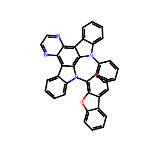 c1ccc(-n2c3ccccc3c3c4nccnc4c4c5ccccc5n(-c5cccc6c5oc5ccccc56)c4c32)cc1